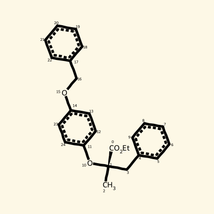 CCOC(=O)[C@](C)(Cc1ccccc1)Oc1ccc(OCc2ccccc2)cc1